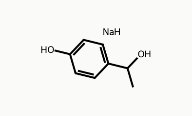 CC(O)c1ccc(O)cc1.[NaH]